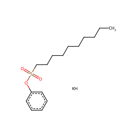 CCCCCCCCCCS(=O)(=O)Oc1ccccc1.[KH]